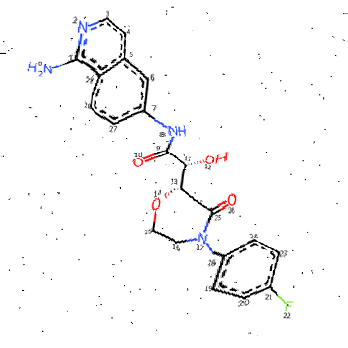 Nc1nccc2cc(NC(=O)[C@H](O)[C@H]3OCCN(c4ccc(F)cc4)C3=O)ccc12